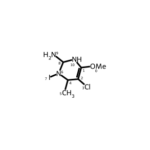 COC1=C(Cl)C(C)N(I)C(N)N1